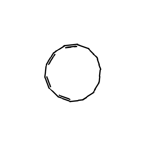 [CH]1CC=CC=CC=CC=CCCCC1